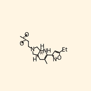 CCc1cc(C2=C(C)C[C@H]3CN(CCS(C)(=O)=O)C[C@@H]3N2)no1